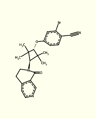 CC1(C)[C@H](Oc2ccc(C#N)c(Br)c2)C(C)(C)[C@H]1N1CCc2ccncc2C1=O